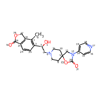 Cc1c([C@@H](O)CN2CCC3(CC2)CN(c2ccncc2)C(=O)O3)ccc2c1COC2=O